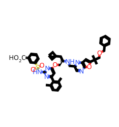 Cc1cccc(C)c1-c1cc(OC[C@@H](CC23CC(C2)C3)NCc2cnc3oc(C(C)(C)COCc4ccccc4)cc3n2)nc(NS(=O)(=O)c2cccc(C(=O)O)c2)n1